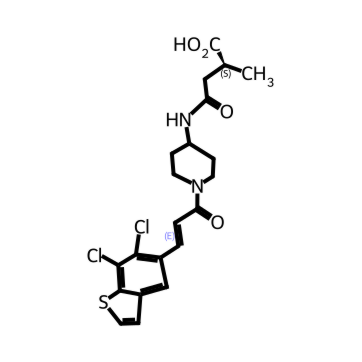 C[C@@H](CC(=O)NC1CCN(C(=O)/C=C/c2cc3ccsc3c(Cl)c2Cl)CC1)C(=O)O